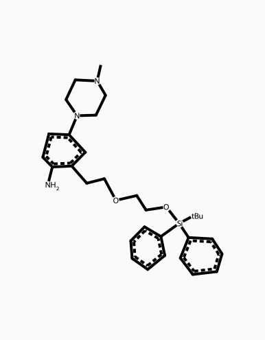 CN1CCN(c2ccc(N)c(CCOCCO[Si](c3ccccc3)(c3ccccc3)C(C)(C)C)c2)CC1